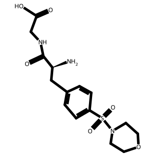 N[C@@H](Cc1ccc(S(=O)(=O)N2CCOCC2)cc1)C(=O)NCC(=O)O